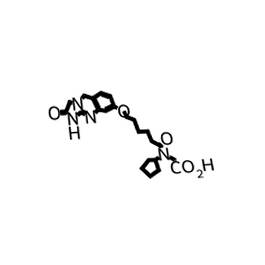 O=C(O)CN(C(=O)CCCCCOc1ccc2c(c1)N=C1NC(=O)CN1C2)C1CCCC1